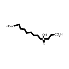 CCCCCCCCCCCCCCCCCCP(=O)(O)CCC(=O)O